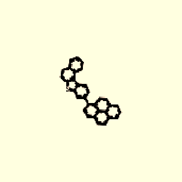 c1ccc2c(c1)ccc1sc3cc(-c4ccc5ccc6cccc7ccc4c5c67)ccc3c12